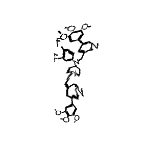 COc1cc(-c2cncc(CN3CCC(N(Cc4cncc(-c5cc(OC)c(OC)c(OC)c5)c4)c4ccc(F)c(F)c4)CC3)c2)cc(OC)c1OC